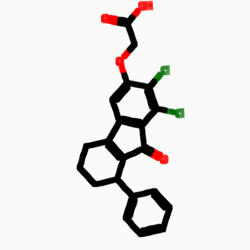 O=C(O)COc1cc2c(c(Cl)c1Cl)C(=O)C1=C2CCCC1c1ccccc1